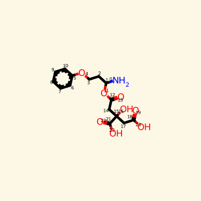 NC(CCOc1ccccc1)OC(=O)CC(O)(CC(=O)O)C(=O)O